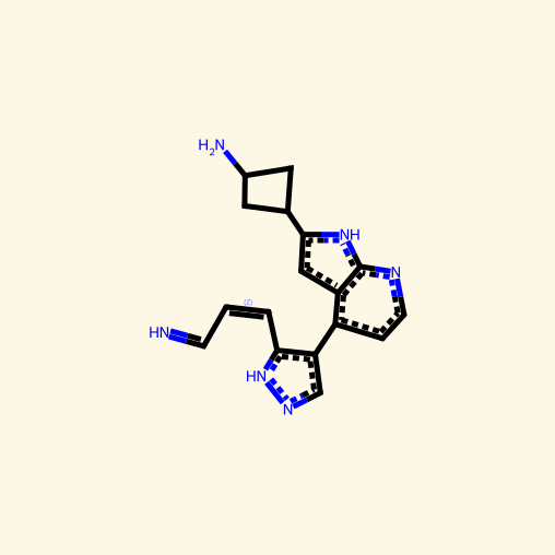 N=C/C=C\c1[nH]ncc1-c1ccnc2[nH]c(C3CC(N)C3)cc12